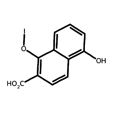 O=C(O)c1ccc2c(O)cccc2c1OI